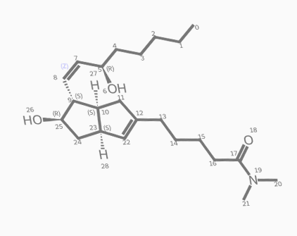 CCCCC[C@@H](O)/C=C\[C@@H]1[C@H]2CC(CCCCC(=O)N(C)C)=C[C@H]2C[C@H]1O